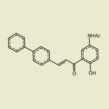 CC(=O)Nc1ccc(O)c(C(=O)C=Cc2ccc(-c3ccccc3)cc2)c1